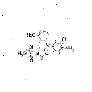 CC(C)CCN(c1ccc(N)c(Cl)c1)C1CCN(C(=O)[C@H](C)O)C1